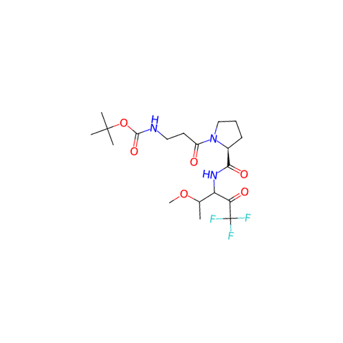 COC(C)C(NC(=O)[C@@H]1CCCN1C(=O)CCNC(=O)OC(C)(C)C)C(=O)C(F)(F)F